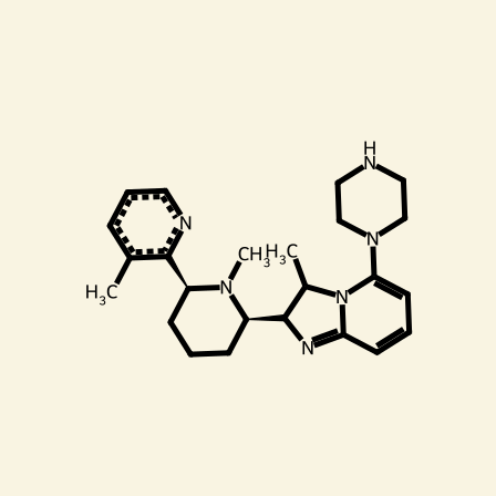 Cc1cccnc1[C@@H]1CCC[C@H](C2N=C3C=CC=C(N4CCNCC4)N3C2C)N1C